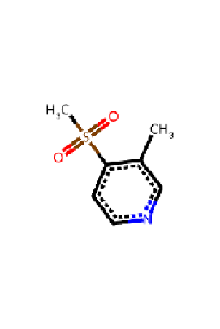 Cc1cnccc1S(C)(=O)=O